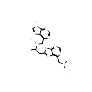 CC(Cc1nc2c(CN(C)C(C)(C)C)ncnc2[nH]1)N(Cc1ncnc2[nH]cnc12)C(C)(C)C